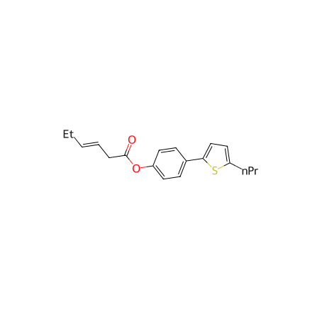 CCC=CCC(=O)Oc1ccc(-c2ccc(CCC)s2)cc1